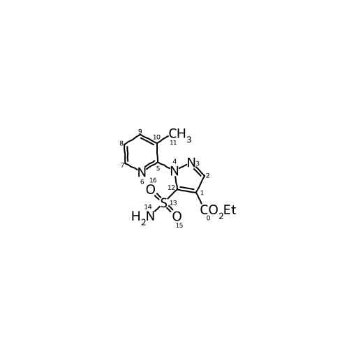 CCOC(=O)c1cnn(-c2ncccc2C)c1S(N)(=O)=O